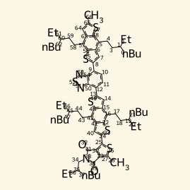 CCCCC(CC)CCc1c2cc(-c3ccc(-c4cc5c(CCC(CC)CCCC)c6sc(-c7sc(C)c8c7C(=O)N(CC(CC)CCCC)C8=O)cc6c(CCC(CC)CCCC)c5s4)c4nsnc34)sc2c(CCC(CC)CCCC)c2cc(C)sc12